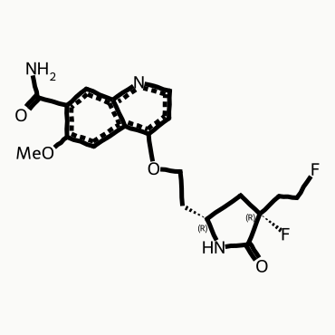 COc1cc2c(OCC[C@@H]3C[C@@](F)(CCF)C(=O)N3)ccnc2cc1C(N)=O